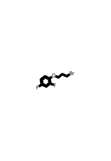 Fc1ccc(OCCCBr)c(F)c1